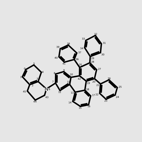 C1=CC2=C(CC1)N(c1ccc3c(c1)c1ccccc1c1c(-c4ccccc4)cc(-c4ccccc4)c(-c4ccccc4)c31)CCC2